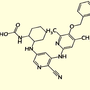 Cc1cc(Nc2cc(NC3CCCCC3NC(=O)O)cnc2C#N)nc(C)c1OCc1ccccc1